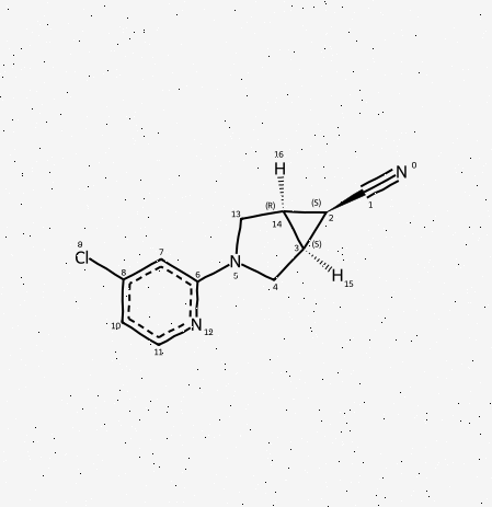 N#C[C@H]1[C@H]2CN(c3cc(Cl)ccn3)C[C@@H]12